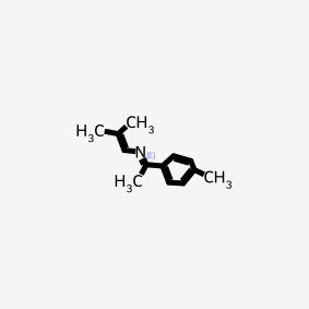 CC(C)=C/N=C(\C)c1ccc(C)cc1